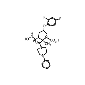 C[C@@]1(C(=O)N2CCN(c3ccccc3)CC2)[C@@H](C(=O)NO)C[C@H](Oc2ccc(F)cc2F)CN1C(=O)O